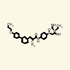 CCCOc1ccc(-c2cccc(/C=C(\C)C(=O)Nc3ccc([S+]([O-])CC(=N)N(C=N)CC)cc3)c2)cc1